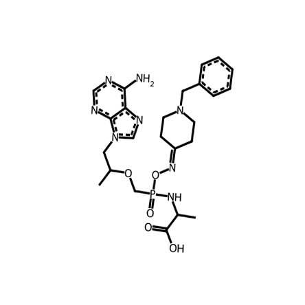 CC(Cn1cnc2c(N)ncnc21)OCP(=O)(NC(C)C(=O)O)ON=C1CCN(Cc2ccccc2)CC1